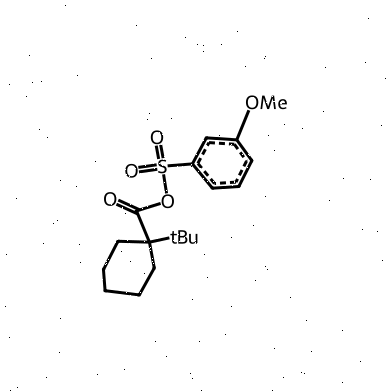 COc1cccc(S(=O)(=O)OC(=O)C2(C(C)(C)C)CCCCC2)c1